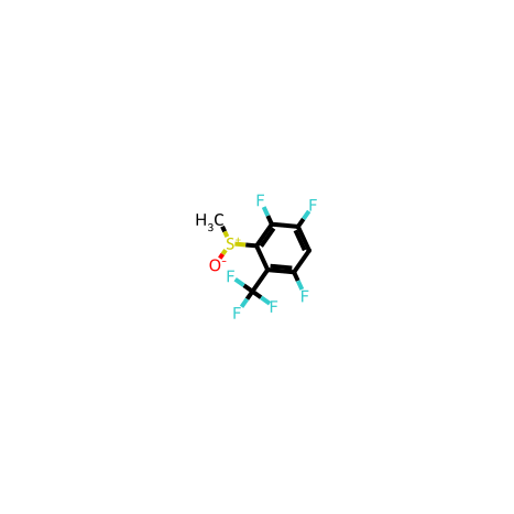 C[S+]([O-])c1c(F)c(F)cc(F)c1C(F)(F)F